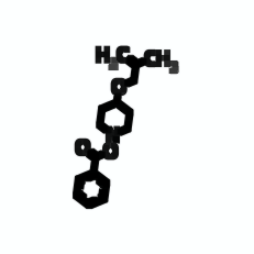 C=C(C)COC1CCN(OC(=O)c2ccccc2)CC1